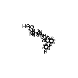 O=C(O)Cn1nnc(-c2cnc(N3CCC4(C=C(c5ccc(F)cc5F)c5ccccc5O4)CC3)s2)n1